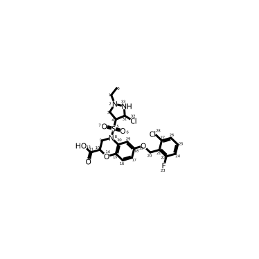 CCN1CC(S(=O)(=O)N2CC(C(=O)O)Oc3ccc(OCc4c(F)cccc4Cl)cc32)C(Cl)N1